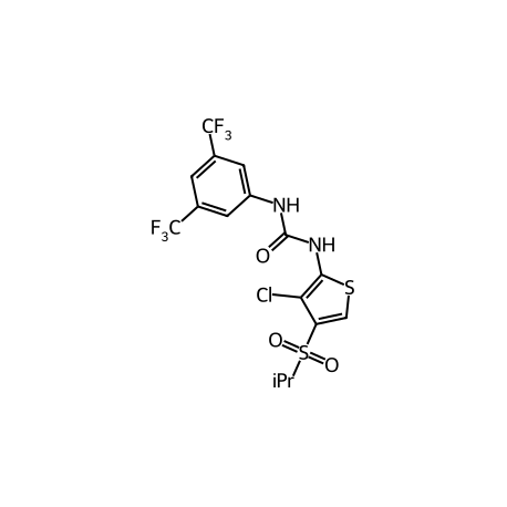 CC(C)S(=O)(=O)c1csc(NC(=O)Nc2cc(C(F)(F)F)cc(C(F)(F)F)c2)c1Cl